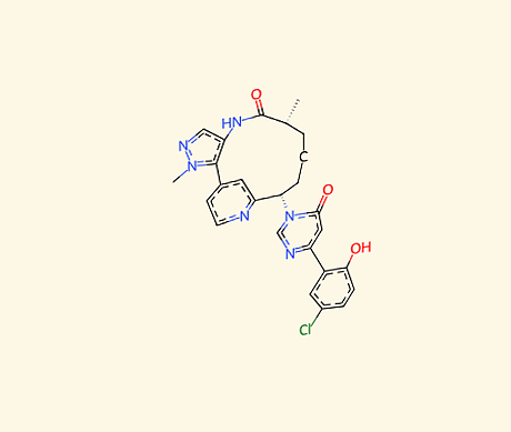 C[C@@H]1CCC[C@H](n2cnc(-c3cc(Cl)ccc3O)cc2=O)c2cc(ccn2)-c2c(cnn2C)NC1=O